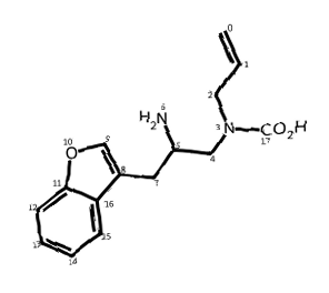 C=CCN(CC(N)Cc1coc2ccccc12)C(=O)O